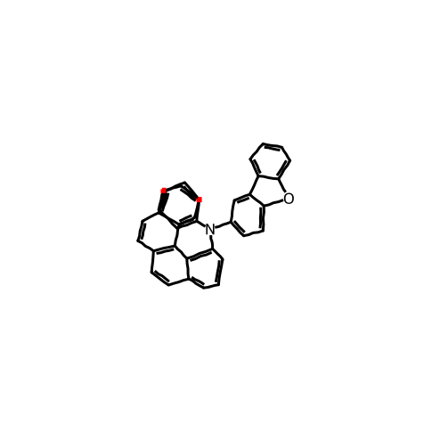 c1ccc(N(c2ccc3oc4ccccc4c3c2)c2cccc3ccc4ccc5ccccc5c4c23)cc1